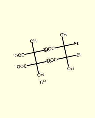 CCC(O)(C(=O)[O-])C(O)(CC)C(=O)[O-].CCC(O)(C(=O)[O-])C(O)(CC)C(=O)[O-].[Ti+4]